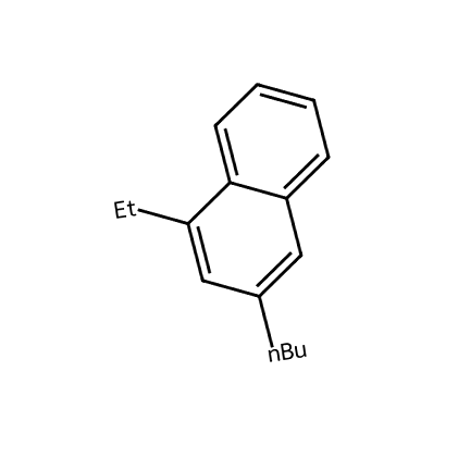 [CH2]Cc1cc(CCCC)cc2ccccc12